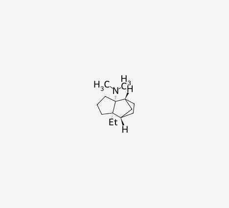 CC[C@]12CCC[C@@]1(N(C)C)[C@@H]1CC[C@H]2C1